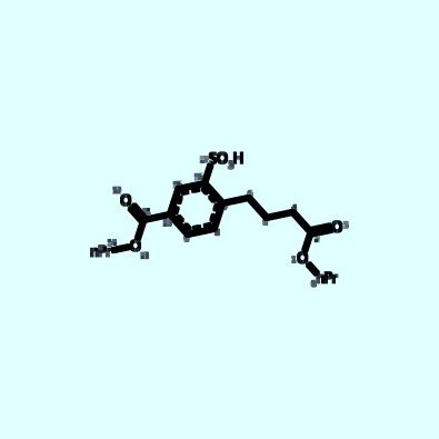 CCCOC(=O)CCCc1ccc(C(=O)OCCC)cc1S(=O)(=O)O